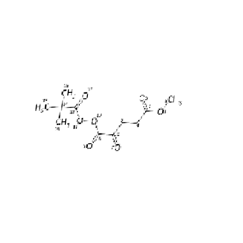 COC(=O)CCC(=O)C(=O)OOC(=O)C(C)(C)C